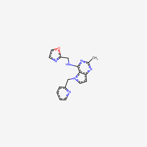 Cc1nc(NCc2ncco2)c2c(ccn2Cc2ccccn2)n1